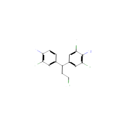 Nc1ccc(C(CCBr)c2cc(Br)c(N)c(Br)c2)cc1Br